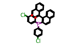 Clc1ccc(P(c2ccc(Cl)cc2)c2ccc3ccccc3c2-c2cccc3ccccc23)cc1